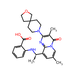 Cc1cc([C@@H](C)Nc2ccccc2C(=O)O)c2nc(N3CCC4(CCOC4)CC3)c(C)c(=O)n2c1